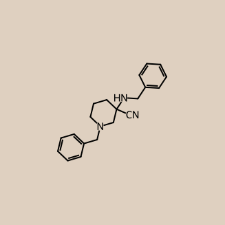 N#CC1(NCc2ccccc2)CCCN(Cc2ccccc2)C1